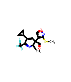 CSc1nocc1C1(C=O)C=C(C2CC2)C(C(F)(F)F)=NC1C